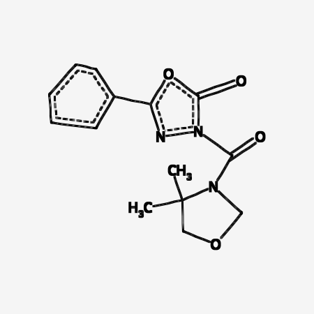 CC1(C)COCN1C(=O)n1nc(-c2ccccc2)oc1=O